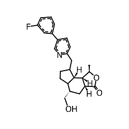 C[C@H]1OC(=O)[C@@H]2C[C@H](CO)C3CCC(Cc4ccc(-c5cccc(F)c5)cn4)[C@@H]3[C@H]12